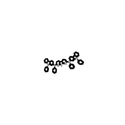 c1ccc(N(c2ccc3c4ccccc4n(-c4ccccc4)c3c2)c2ccc3c(n2)sc2nc(N(c4ccccc4)c4ccc5c6ccccc6n(-c6ccccc6)c5c4)ccc23)cc1